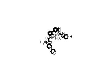 Cn1c(C(=O)Nc2cccc(-c3cccc(NC(=O)c4nc5c(n4C)CCN(C4CCOCC4)C5)c3Cl)c2Cl)nc2c1CCNC2